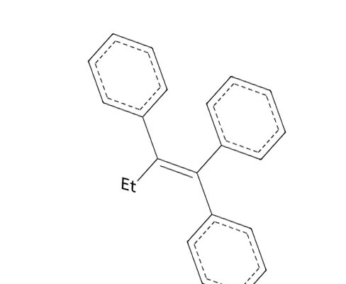 CCC(=C(c1ccccc1)c1ccccc1)c1ccccc1